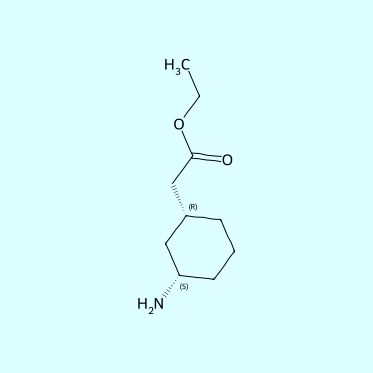 CCOC(=O)C[C@@H]1CCC[C@H](N)C1